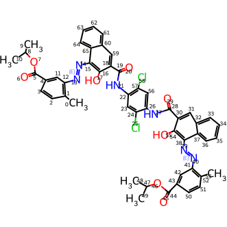 Cc1ccc(C(=O)OC(C)C)cc1/N=N/c1c(O)c(C(=O)Nc2cc(Cl)c(NC(=O)c3cc4ccccc4c(/N=N/c4cc(C(=O)OC(C)C)ccc4C)c3O)cc2Cl)cc2ccccc12